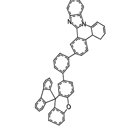 C1=CCC2C(=C1)n1c(nc3ccccc31)-c1cc(-c3cccc(-c4ccc5c(c4)C4(c6ccccc6O5)c5ccccc5-c5ccccc54)c3)ccc12